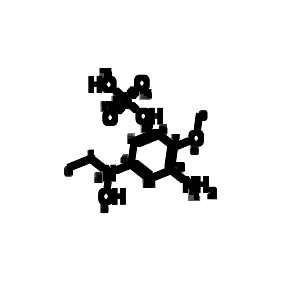 CCN(O)c1ccc(OC)c(N)c1.O=S(=O)(O)O